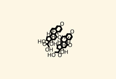 C[C@]12C=CC(=O)C=C1CC[C@@H]1[C@@H]2C(=O)C[C@@]2(C)[C@H]1CC[C@]2(O)C(=O)CO.C[C@]12C=CC(=O)C=C1CC[C@H]1[C@@H]3C[C@@H](O)[C@](O)(C(=O)CO)[C@@]3(C)C[C@H](O)[C@@]12F